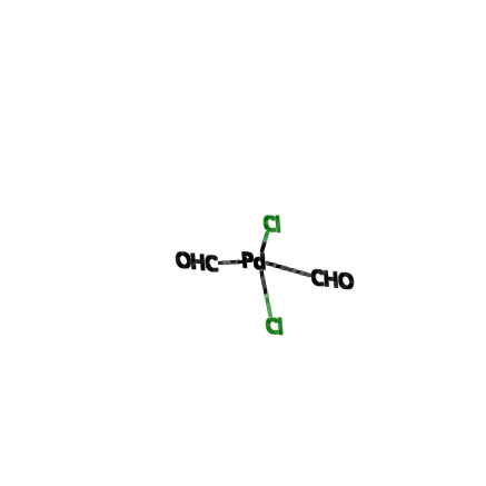 O=[CH][Pd]([Cl])([Cl])[CH]=O